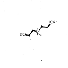 N#CC[CH2][GeH2][CH2]CC#N